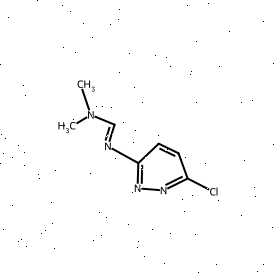 CN(C)/C=N/c1ccc(Cl)nn1